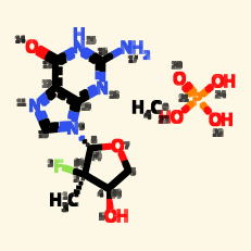 C.C[C@@]1(F)[C@H](O)CO[C@H]1n1cnc2c(=O)[nH]c(N)nc21.O=P(O)(O)O